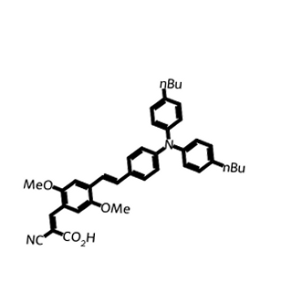 CCCCc1ccc(N(c2ccc(/C=C/c3cc(OC)c(/C=C(/C#N)C(=O)O)cc3OC)cc2)c2ccc(CCCC)cc2)cc1